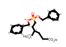 O=C(O)CCC(CCP(=O)(OCc1ccccc1)OCc1ccccc1)C(=O)O